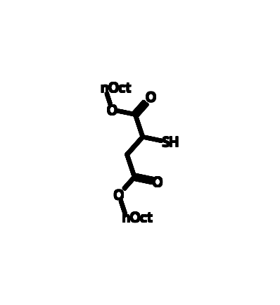 CCCCCCCCOC(=O)CC(S)C(=O)OCCCCCCCC